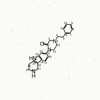 O=C1CN(CCc2ccccc2)CCN1c1ccc2c3c([nH]c2c1)CCNC3